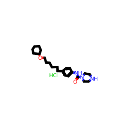 Cl.O=C(Nc1ccc(CCCCCCOC2CCCCC2)cc1)N1CCNCC1